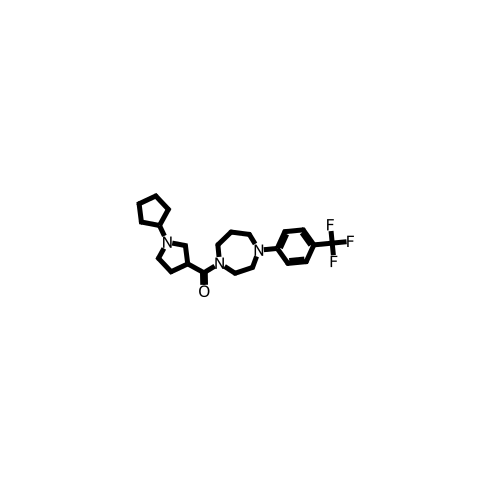 O=C(C1CCN(C2CCCC2)C1)N1CCCN(c2ccc(C(F)(F)F)cc2)CC1